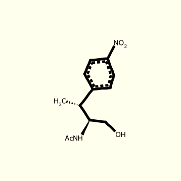 CC(=O)N[C@H](CO)[C@H](C)c1ccc([N+](=O)[O-])cc1